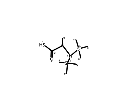 CC(C(=O)S)N([Si](C)(C)C)[Si](C)(C)C